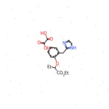 CCOC(=O)C(CC)Oc1ccccc1Cc1ncc[nH]1.O=C(O)C(=O)O